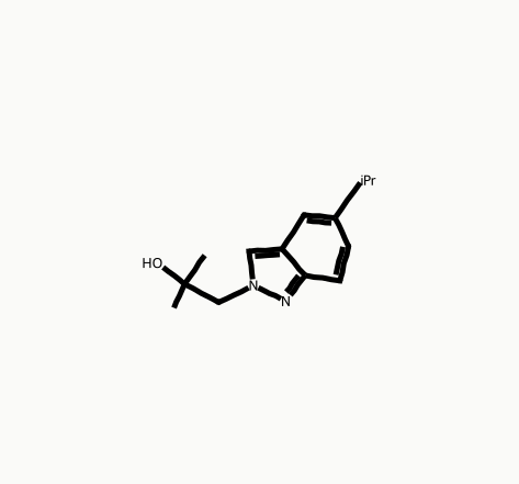 CC(C)c1ccc2nn(CC(C)(C)O)cc2c1